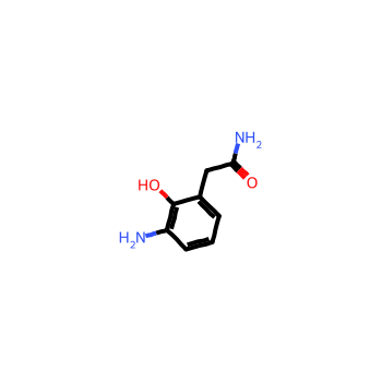 NC(=O)Cc1cccc(N)c1O